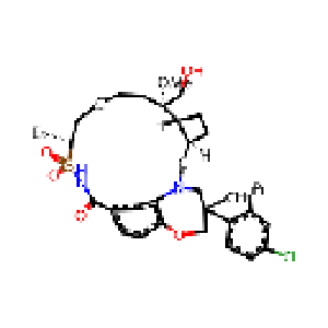 CCCc1cc(Cl)ccc1[C@]1(C)COc2ccc3cc2N(C[C@@H]2CC[C@H]2[C@@](CO)(OC)CCCC[C@@H](CC)S(=O)(=O)NC3=O)C1